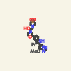 COc1cc(-c2[nH]c3ccc(C4CN(C(O)CN5CCS(=O)(=O)CC5)CCO4)cc3c2C(C)C)cn2ncnc12